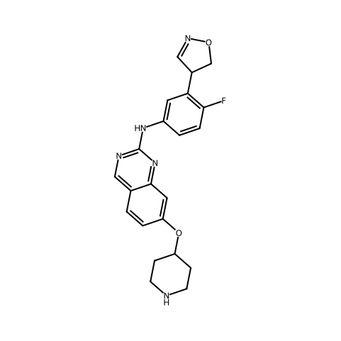 Fc1ccc(Nc2ncc3ccc(OC4CCNCC4)cc3n2)cc1C1C=NOC1